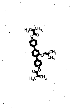 C=C(C)C(=O)Oc1ccc(-c2ccc(-c3ccc(OC(=O)C(=C)C)cc3)c(OC=C(C)C)c2)cc1